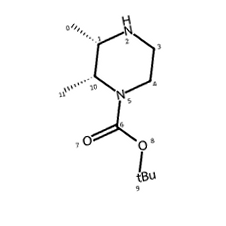 C[C@@H]1NCCN(C(=O)OC(C)(C)C)[C@@H]1C